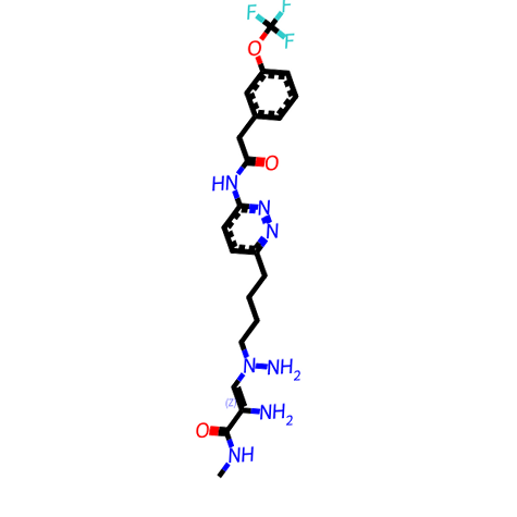 CNC(=O)/C(N)=C/N(N)CCCCc1ccc(NC(=O)Cc2cccc(OC(F)(F)F)c2)nn1